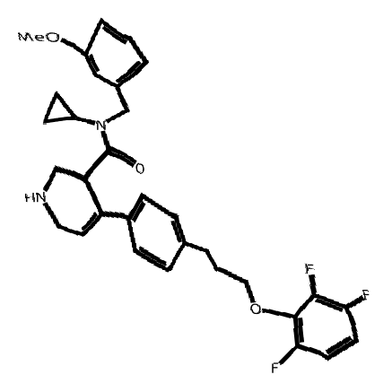 COc1cccc(CN(C(=O)C2CNCC=C2c2ccc(CCCOc3c(F)ccc(F)c3F)cc2)C2CC2)c1